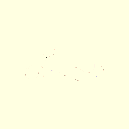 O=CC(=O)c1c2ccccc2cn1CCc1ccc(C2=NCCN2)cc1